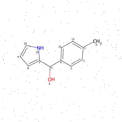 Cc1ccc(C(O)c2ccc[nH]2)cc1